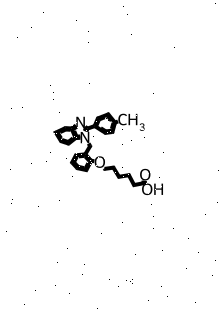 Cc1ccc(-c2nc3ccccc3n2Cc2ccccc2OCCCCCC(=O)O)cc1